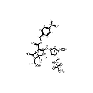 C[C@@H](O)[C@H]1C(=O)N2C(C(=O)OCc3ccc([N+](=O)[O-])cc3)=C(S[C@@H]3CN[C@H](CNS(N)(=O)=O)C3)[C@H](C)[C@H]12.Cl